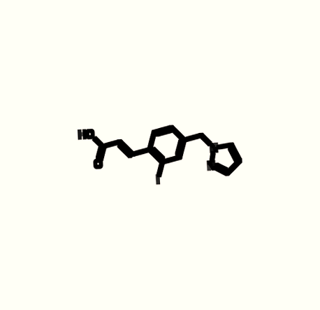 O=C(O)C=Cc1ccc(Cn2cccn2)cc1I